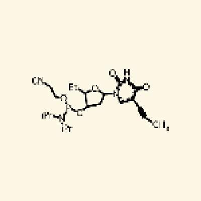 [C-]#[N+]CCOP(OC1CC(n2cc(C#CC)c(=O)[nH]c2=O)OC1CC)N(C(C)C)C(C)C